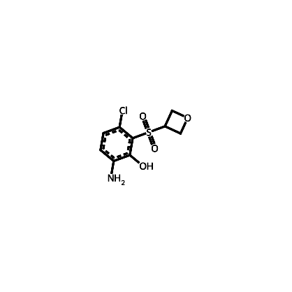 Nc1ccc(Cl)c(S(=O)(=O)C2COC2)c1O